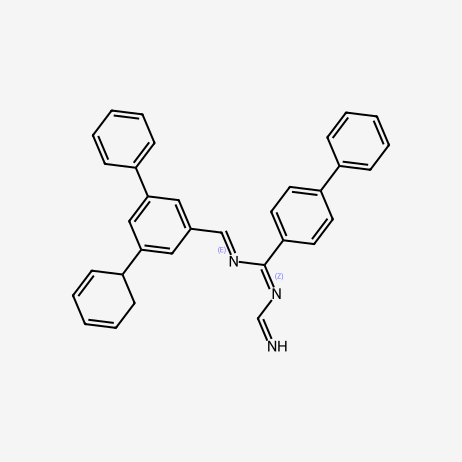 N=C/N=C(\N=C\c1cc(-c2ccccc2)cc(C2C=CC=CC2)c1)c1ccc(-c2ccccc2)cc1